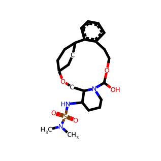 CN(C)S(=O)(=O)NC1CCCN2C(O)OCCc3ccccc3C3CCC(CC3)OCC12